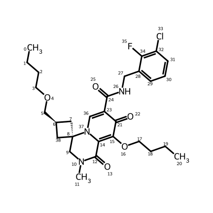 CCCCOC[C@H]1C[C@]2(CN(C)C(=O)c3c(OCCCC)c(=O)c(C(=O)NCc4cccc(Cl)c4F)cn32)C1